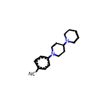 N#Cc1ccc(N2CCC(N3CCCCC3)CC2)cc1